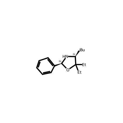 CCC(C)[C@@H]1N[C@H](c2ccccc2)OC1(CC)CC